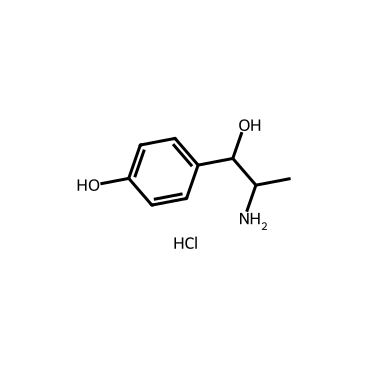 CC(N)C(O)c1ccc(O)cc1.Cl